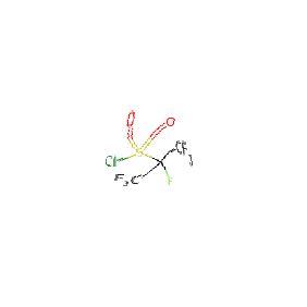 O=S(=O)(Cl)C(F)(C(F)(F)F)C(F)(F)F